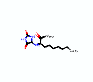 CCCCCC(=O)/C(CCCCCCC(=O)OCC)=N\C1NC(=O)NC1=O